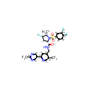 C[C@H]1[C@H](F)C[C@@H](C(=O)NCc2cc(-c3cnc(C(F)(F)F)nc3)ncc2C(F)(F)F)N1S(=O)(=O)c1ccc(F)c(F)c1